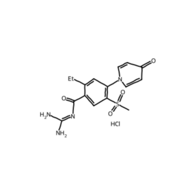 CCc1cc(-n2ccc(=O)cc2)c(S(C)(=O)=O)cc1C(=O)N=C(N)N.Cl